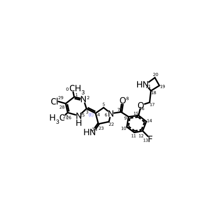 CC1=N/C(=C2\CN(C(=O)c3ccc(F)cc3OCC3CCN3)CC2=N)NC(C)=C1Cl